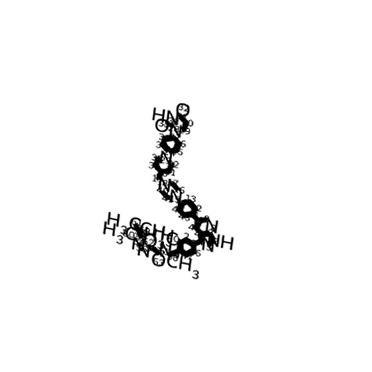 Cc1cc(-c2n[nH]c3ncc(-c4ccc(N5CCN(CC6CCN(c7ccc(N8CCC(=O)NC8=O)cc7)CC6)CC5)cc4)cc23)ccc1C(C)NC(=O)c1nnc(C(C)(C)C)o1